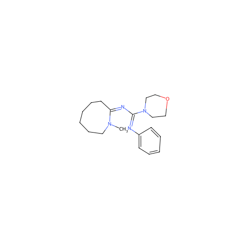 CN1CCCCCCC1=NC(=Nc1ccccc1)N1CCOCC1